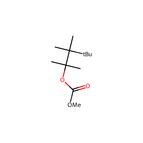 COC(=O)OC(C)(C)C(C)(C)C(C)(C)C